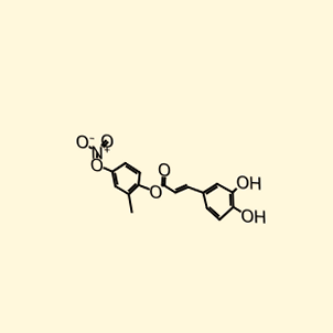 Cc1cc(O[N+](=O)[O-])ccc1OC(=O)C=Cc1ccc(O)c(O)c1